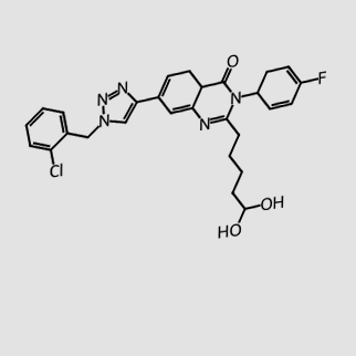 O=C1C2CC=C(c3cn(Cc4ccccc4Cl)nn3)C=C2N=C(CCCCC(O)O)N1C1C=CC(F)=CC1